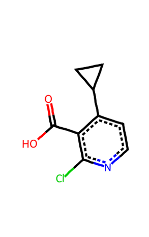 O=C(O)c1c(C2CC2)ccnc1Cl